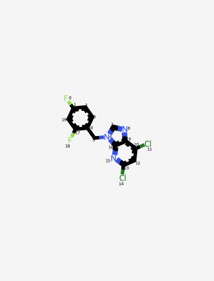 Fc1ccc(Cn2cnc3c(Cl)cc(Cl)nc32)c(F)c1